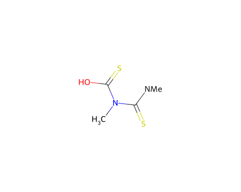 CNC(=S)N(C)C(O)=S